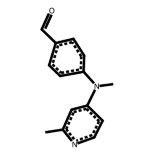 Cc1cc(N(C)c2ccc(C=O)cc2)ccn1